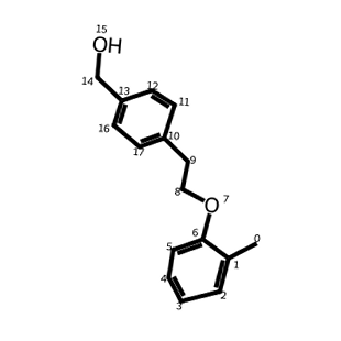 Cc1ccccc1OCCc1ccc(CO)cc1